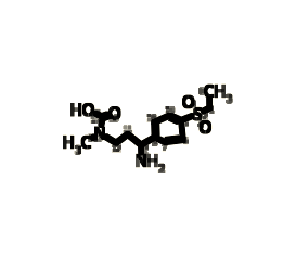 CCS(=O)(=O)c1ccc(C(N)CCN(C)C(=O)O)cc1